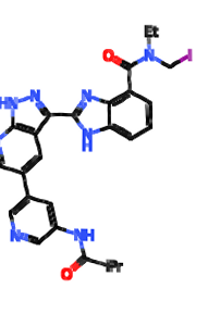 CCN(CI)C(=O)c1cccc2[nH]c(-c3n[nH]c4ncc(-c5cncc(NC(=O)C(C)C)c5)cc34)nc12